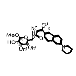 CO[C@H]1OC(CNC(=O)C(C#N)=C(C)c2ccc3cc(N4CCCCC4)ccc3c2)[C@@H](O)[C@H](O)[C@H]1O